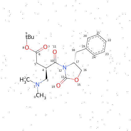 CN(C)C[C@@H](CC(=O)OC(C)(C)C)C(=O)N1C(=O)OC[C@H]1Cc1ccccc1